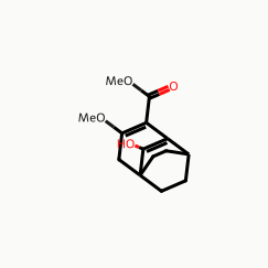 COC(=O)C1=C(OC)CC23CCC(CC2)C1=C3O